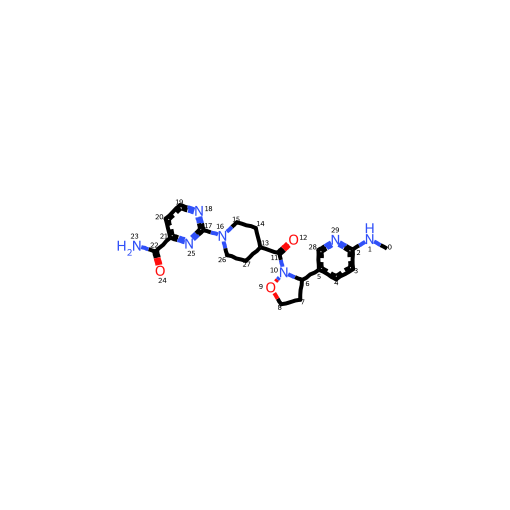 CNc1ccc(C2CCON2C(=O)C2CCN(c3nccc(C(N)=O)n3)CC2)cn1